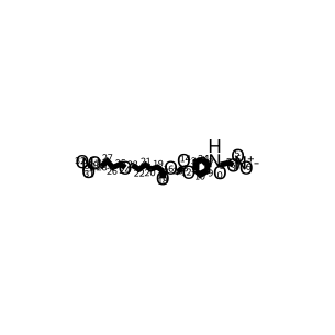 O=C(CO[N+](=O)[O-])Nc1ccc(OC(=O)COC(=O)CCCCCOCCCCO[N+](=O)[O-])cc1